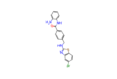 Nc1ccccc1NC(=O)c1ccc(CNc2nc3cc(Br)ccc3s2)cc1